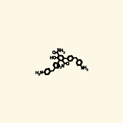 NC(=O)c1cc(-c2ccc(Cc3ccc(N)cc3)cc2)c(C(N)=O)c(-c2ccc(Cc3ccc(N)cc3)cc2)c1O